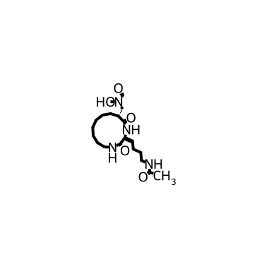 CC(=O)NCCC/C=C1/NC(=O)[C@@H](CN(O)C=O)CCCCCCCNC1=O